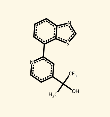 CC(O)(c1ccnc(-c2cccc3ncsc23)c1)C(F)(F)F